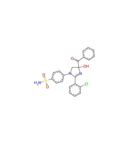 NS(=O)(=O)c1ccc(N2CC(O)(C(=O)c3ccccc3)N=C2c2ccccc2Cl)cc1